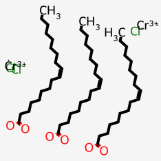 CCCCCCCC/C=C\CCCCCCCC(=O)[O-].CCCCCCCC/C=C\CCCCCCCC(=O)[O-].CCCCCCCC/C=C\CCCCCCCC(=O)[O-].[Cl-].[Cl-].[Cl-].[Cr+3].[Cr+3]